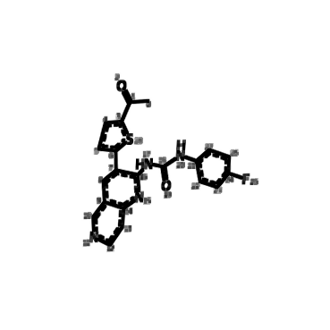 CC(=O)c1ccc(-c2cc3cnccc3nc2NC(=O)Nc2ccc(F)cc2)s1